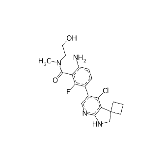 CN(CCO)C(=O)c1c(N)ccc(-c2cnc3c(c2Cl)C2(CCC2)CN3)c1F